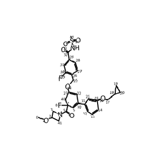 COC1CN(C(=O)C2(F)C=C(c3cccc(OCC4CC4)c3)C=C(OCc3ccc(C(=O)NS(C)(=O)=O)cc3F)C2)C1